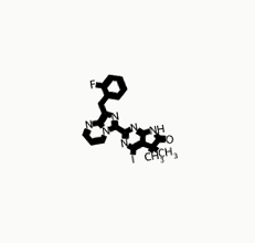 CC1(C)C(=O)Nc2nc(-c3nc(Cc4ccccc4F)c4ncccn34)nc(I)c21